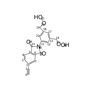 C#Cc1ccc2c(c1)C(=O)N(c1cc(COO)cc(COO)c1)C2=O